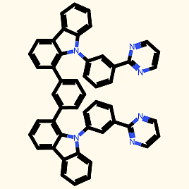 c1cnc(-c2cccc(-n3c4ccccc4c4cccc(-c5cccc(-c6cccc7c8ccccc8n(-c8cccc(-c9ncccn9)c8)c67)c5)c43)c2)nc1